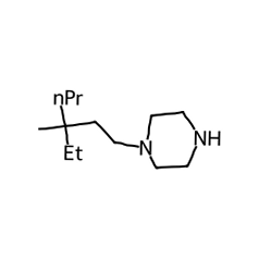 CCCC(C)(CC)CCN1CCNCC1